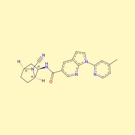 Cc1ccnc(-n2ccc3cc(C(=O)N[C@@H]4C[C@@H]5CC[C@H]4N5C#N)cnc32)c1